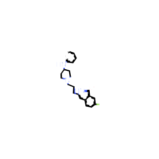 O=c1[nH]c(CCCN2CCC(Nc3ccccc3)CC2)cc2ccc(F)cc12